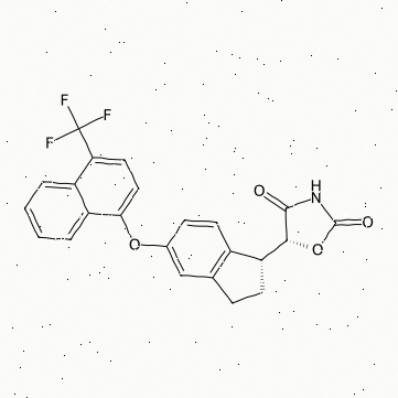 O=C1NC(=O)[C@@H]([C@@H]2CCc3cc(Oc4ccc(C(F)(F)F)c5ccccc45)ccc32)O1